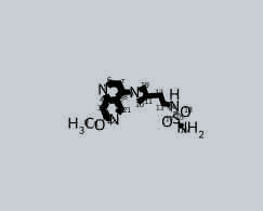 COc1cc2nccc(N3CC(CCNS(N)(=O)=O)C3)c2cn1